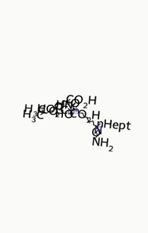 CCCCCCC/C(CCCCCC/C=C/[C@H](C(=O)N[C@@H](Cc1ccc(OCC=C(C)C)cc1)C(=O)O)[C@@](O)(CC(=O)O)C(=O)O)=N/OCCN